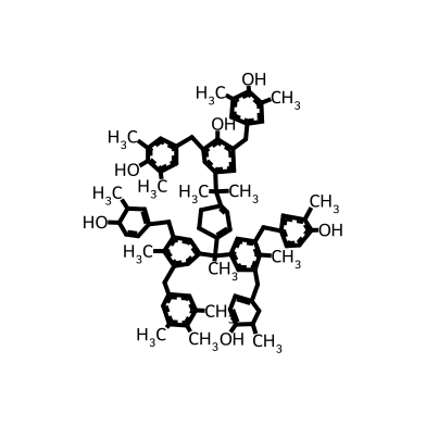 Cc1cc(Cc2cc(C(C)(C3=CC=C(C(C)(C)c4cc(Cc5cc(C)c(O)c(C)c5)c(O)c(Cc5cc(C)c(O)c(C)c5)c4)CC3)c3cc(CC4=CC(C)C(O)C=C4)c(C)c(Cc4cc(C)c(C)c(C)c4)c3)cc(CC3=CC=C(O)C(C)C3)c2C)ccc1O